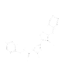 Cc1nc(N2CCN(Cc3ccccc3)C2=O)sc1C(=O)NCc1ccccc1